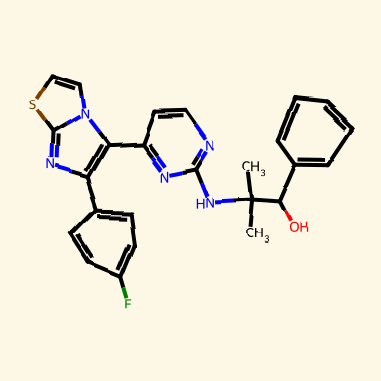 CC(C)(Nc1nccc(-c2c(-c3ccc(F)cc3)nc3sccn23)n1)C(O)c1ccccc1